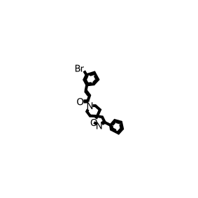 O=C(C=Cc1cccc(Br)c1)N1CCC2(CC1)CC(c1ccccc1)=NO2